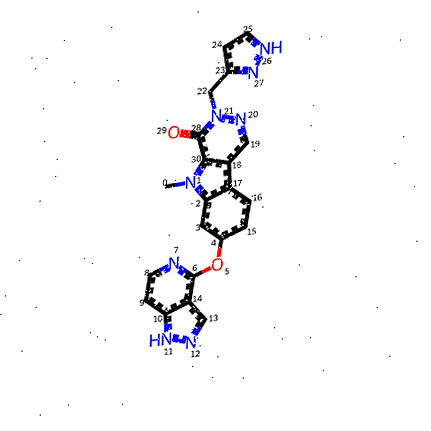 Cn1c2cc(Oc3nccc4[nH]ncc34)ccc2c2cnn(Cc3cc[nH]n3)c(=O)c21